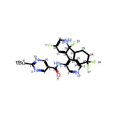 CC(C)(C)c1ncc(C(=O)Nc2cnccc2C2=CC(F)=CNC2(F)C2CCC(F)(F)CC2)cn1